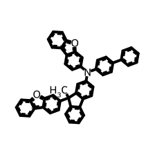 CC1(c2ccc3c(c2)oc2ccccc23)c2ccccc2-c2ccc(N(c3ccc(-c4ccccc4)cc3)c3ccc4c(c3)oc3ccccc34)cc21